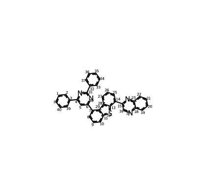 c1ccc(-c2cc(-c3cccc4sc5c(-c6cnc7ccccc7n6)cccc5c34)nc(-c3ccccc3)n2)cc1